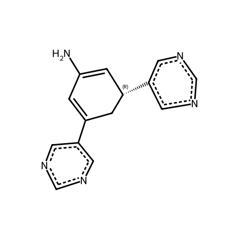 NC1=C[C@H](c2cncnc2)CC(c2cncnc2)=C1